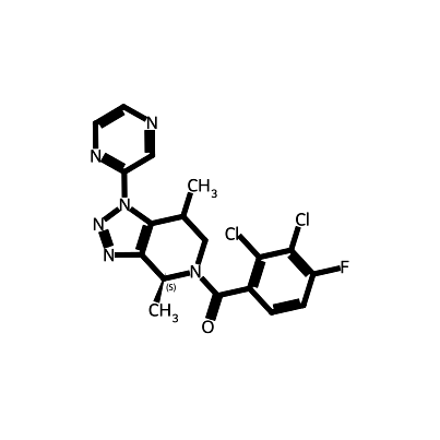 CC1CN(C(=O)c2ccc(F)c(Cl)c2Cl)[C@@H](C)c2nnn(-c3cnccn3)c21